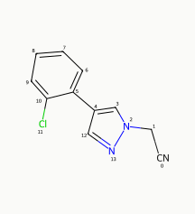 N#CCn1cc(-c2ccccc2Cl)cn1